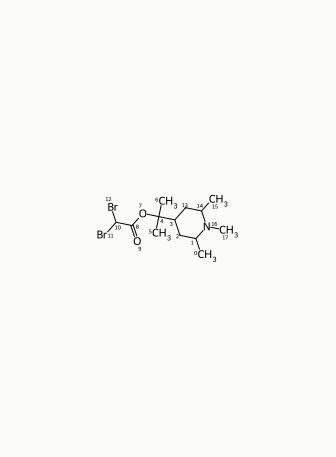 CC1CC(C(C)(C)OC(=O)C(Br)Br)CC(C)N1C